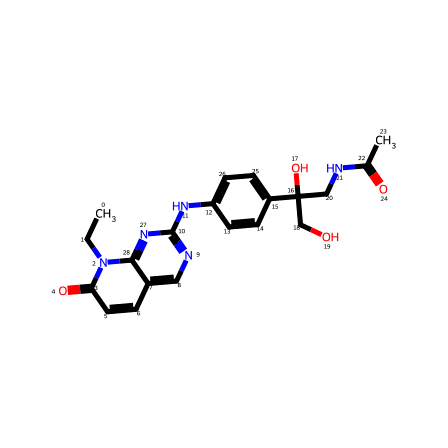 CCn1c(=O)ccc2cnc(Nc3ccc(C(O)(CO)CNC(C)=O)cc3)nc21